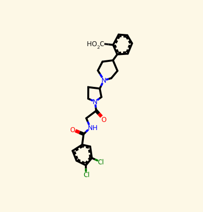 O=C(NCC(=O)N1CCC(N2CCC(c3ccccc3C(=O)O)CC2)C1)c1ccc(Cl)c(Cl)c1